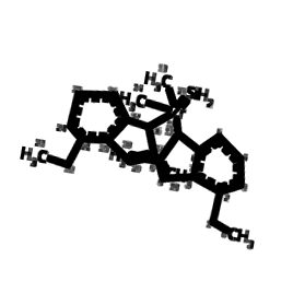 CCc1cccc2c1C=C(C)[CH]2[Zr]([CH3])([CH3])(=[SiH2])[CH]1C(C)=Cc2c(CC)cccc21